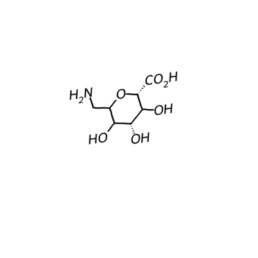 NCC1O[C@H](C(=O)O)C(O)[C@H](O)C1O